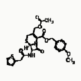 COc1ccc(COC(=O)C2=C(COC(C)=O)CS[C@@H]3[C@@H](NC(=O)Cc4cccs4)C(=O)N23)cc1